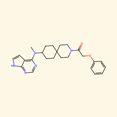 CN(c1ncnc2[nH]ccc12)C1CCC2(CC1)CCN(C(=O)COc1ccccc1)CC2